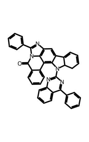 O=c1c2ccccc2c2c3c(cc4nc(-c5ccccc5)n1c42)C1=CC=CCC1N3c1nc(-c2ccccc2)c2ccccc2n1